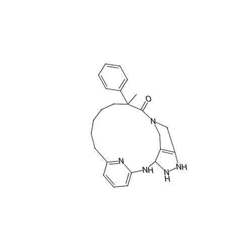 CC1(c2ccccc2)CCCCCc2cccc(n2)NC2NNC3=C2CN(C3)C1=O